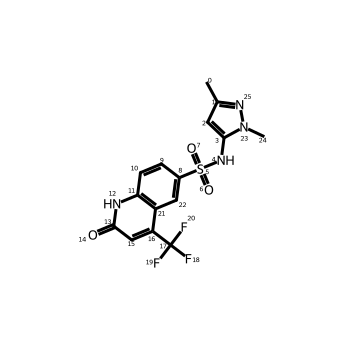 Cc1cc(NS(=O)(=O)c2ccc3[nH]c(=O)cc(C(F)(F)F)c3c2)n(C)n1